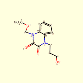 O=C(O)OCn1c(=O)c(=O)n(CCCO)c2ccccc21